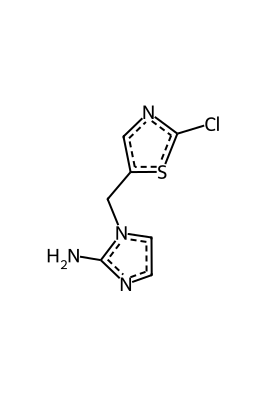 Nc1nccn1Cc1cnc(Cl)s1